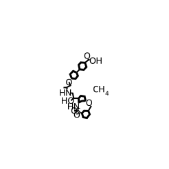 C.CC(COc1ccc(-c2ccc(C(=O)O)cc2)cc1)NCC(O)c1ccc2cc1NS(=O)(=O)c1cccc(c1)CO2